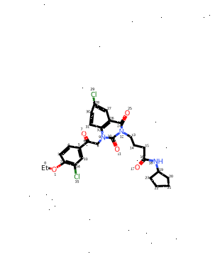 CCOc1ccc(C(=O)Cn2c(=O)n(CCCC(=O)NC3CCCC3)c(=O)c3cc(Cl)ccc32)cc1Cl